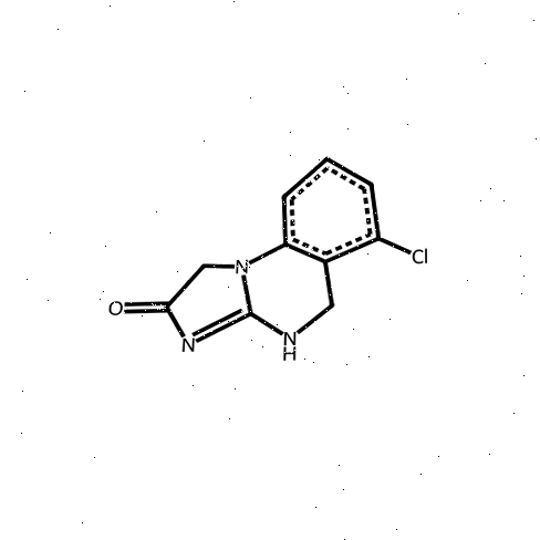 O=C1CN2C(=N1)NCc1c(Cl)cccc12